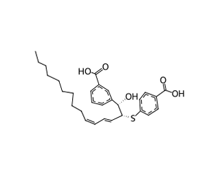 CCCCCCCCC/C=C\C=C\[C@@H](Sc1ccc(C(=O)O)cc1)[C@@H](O)c1cccc(C(=O)O)c1